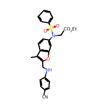 CCOC(=O)CN(c1ccc2c(C)c(CNc3ccc(C#N)cc3)oc2c1)S(=O)(=O)c1ccccc1